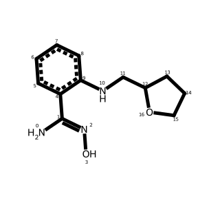 NC(=NO)c1ccccc1NCC1CCCO1